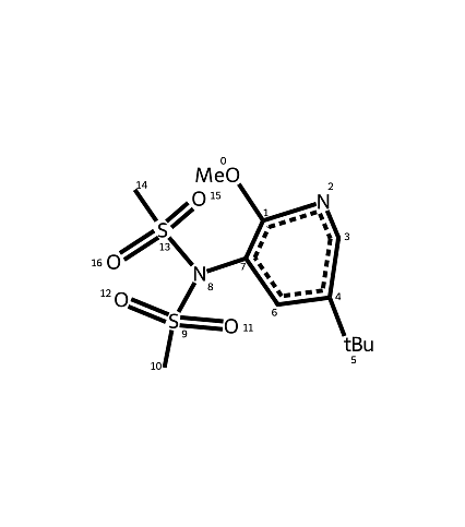 COc1ncc(C(C)(C)C)cc1N(S(C)(=O)=O)S(C)(=O)=O